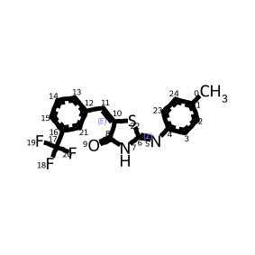 Cc1ccc(/N=C2/NC(=O)/C(=C\c3cccc(C(F)(F)F)c3)S2)cc1